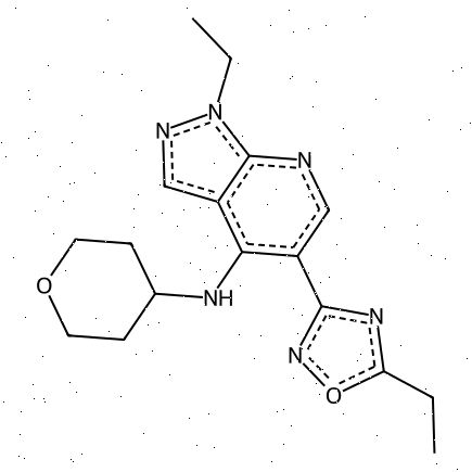 CCc1nc(-c2cnc3c(cnn3CC)c2NC2CCOCC2)no1